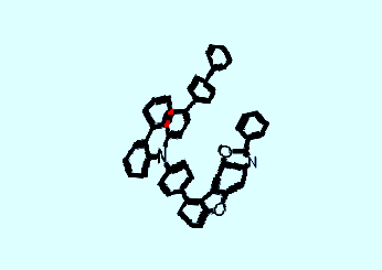 c1ccc(-c2ccc(-c3ccc(N(c4ccc(-c5cccc6oc7cc8nc(-c9ccccc9)oc8cc7c56)cc4)c4ccccc4-c4ccccc4)cc3)cc2)cc1